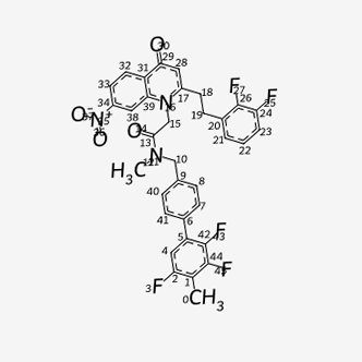 Cc1c(F)cc(-c2ccc(CN(C)C(=O)Cn3c(CCc4cccc(F)c4F)cc(=O)c4ccc([N+](=O)[O-])cc43)cc2)c(F)c1F